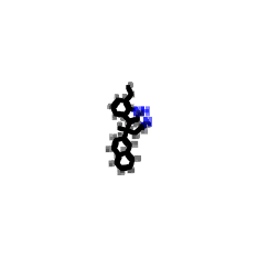 CCc1cccc2c(C(C)(CC#N)c3ccc4ccccc4c3)c[nH]c12